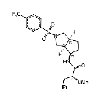 CN[C@@H](CC(C)C)C(=O)N[C@@H]1CC[C@@H]2CN(S(=O)(=O)c3ccc(C(F)(F)F)cc3)C[C@@H]21